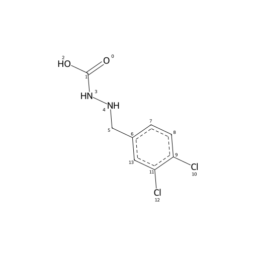 O=C(O)NNCc1ccc(Cl)c(Cl)c1